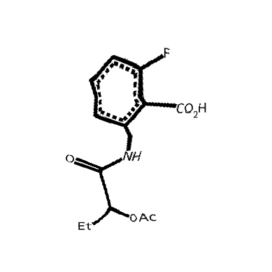 CCC(OC(C)=O)C(=O)Nc1cccc(F)c1C(=O)O